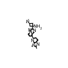 Cc1nc2ccc(-c3ccn4nc(C5(N)CC(N(C)C)C5)ncc34)nc2n1C